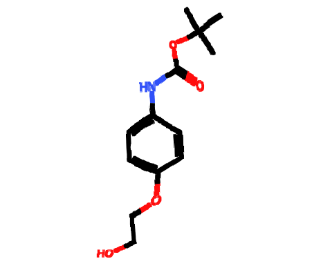 CC(C)(C)OC(=O)Nc1ccc(OCCO)cc1